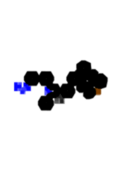 CCC1C(c2ccccc2)=NC(c2cccc(-c3cccc(N)c3)c2)=CC1c1cccc(-c2ccc3c(c2)C2(c4ccccc4-3)c3ccccc3C3(c4ccccc4Sc4ccccc43)c3ccccc32)c1